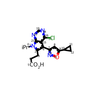 CC(C)n1c(CCC(=O)O)c(-c2cc(C3CC3)on2)c2c(Cl)ncnc21